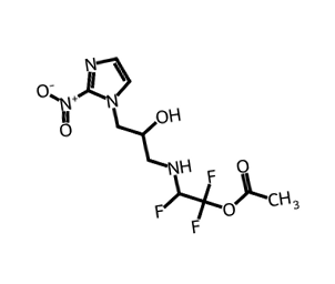 CC(=O)OC(F)(F)C(F)NCC(O)Cn1ccnc1[N+](=O)[O-]